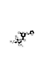 CCN(CC)[C@@H](C)CNC(=O)c1cc(Cl)nc(OC[C@H]2CCCO2)c1